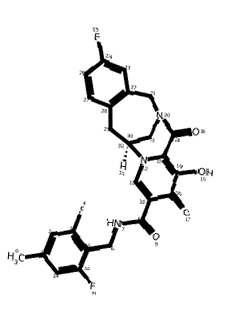 Cc1cc(F)c(CNC(=O)c2cn3c(c(O)c2=O)C(=O)N2Cc4cc(F)ccc4C[C@H]3C2)c(F)c1